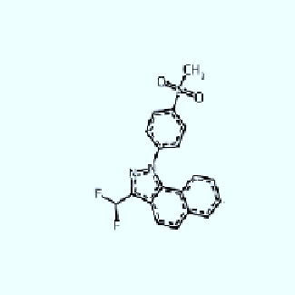 CS(=O)(=O)c1ccc(-n2nc(C(F)F)c3ccc4c[c]ccc4c32)cc1